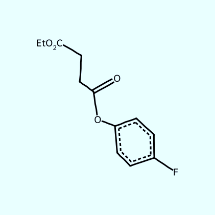 CCOC(=O)CCC(=O)Oc1ccc(F)cc1